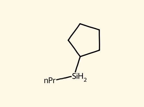 CCC[SiH2]C1CCCC1